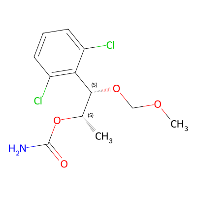 COCO[C@@H](c1c(Cl)cccc1Cl)[C@H](C)OC(N)=O